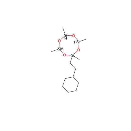 C[SiH]1O[SiH](C)O[Si](C)(CCC2CCCCC2)O[SiH](C)O1